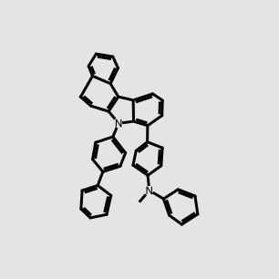 CN(c1ccccc1)c1ccc(-c2cccc3c4c5ccccc5ccc4n(-c4ccc(-c5ccccc5)cc4)c23)cc1